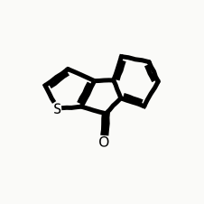 O=C1c2ccccc2-c2ccsc21